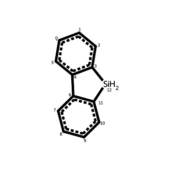 [c]1ccc2c(c1)-c1ccccc1[SiH2]2